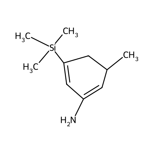 CC1C=C(N)C=C([Si](C)(C)C)C1